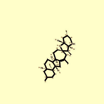 CC1=C2C[C@H]3[C@@H](CC[C@@H]4CC(C)CC[C@@]43C)[C@@H]2CC[C@@]2(C1)O[C@@H]1C[C@H](C)CN[C@H]1[C@H]2C